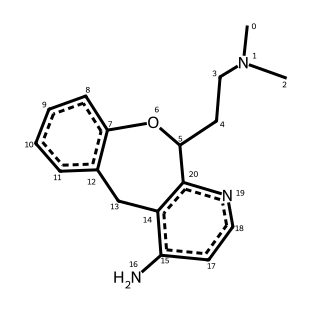 CN(C)CCC1Oc2ccccc2Cc2c(N)ccnc21